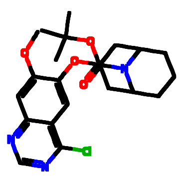 COc1cc2ncnc(Cl)c2cc1OC1CC2CCCC(C1)N2C(=O)OC(C)(C)C